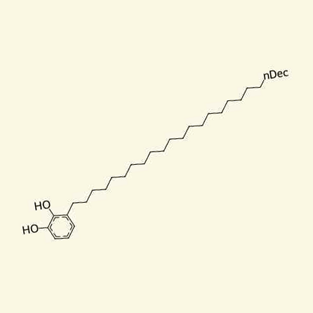 CCCCCCCCCCCCCCCCCCCCCCCCCCCCCCc1cccc(O)c1O